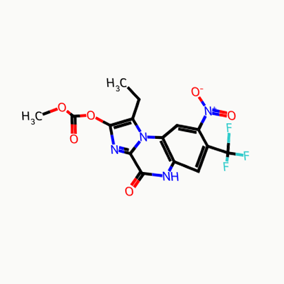 CCc1c(OC(=O)OC)nc2c(=O)[nH]c3cc(C(F)(F)F)c([N+](=O)[O-])cc3n12